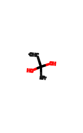 CCCC(O)(O)[C]=O